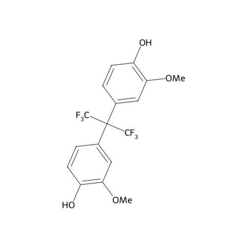 COc1cc(C(c2ccc(O)c(OC)c2)(C(F)(F)F)C(F)(F)F)ccc1O